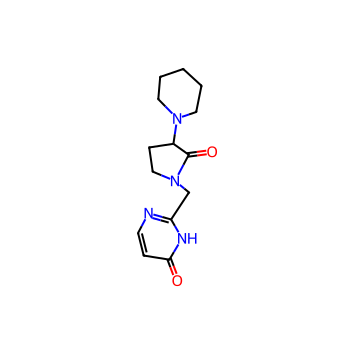 O=C1C(N2CCCCC2)CCN1Cc1nccc(=O)[nH]1